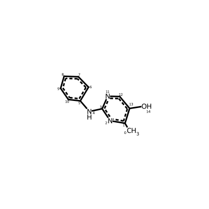 Cc1nc(Nc2ccccc2)ncc1O